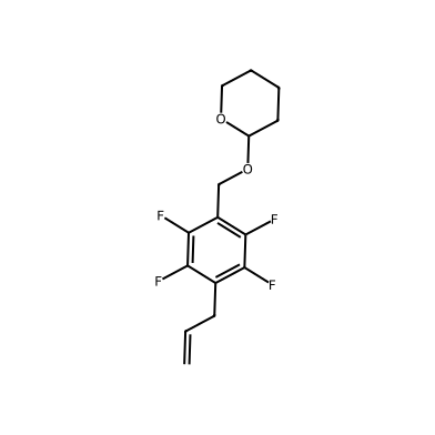 C=CCc1c(F)c(F)c(COC2CCCCO2)c(F)c1F